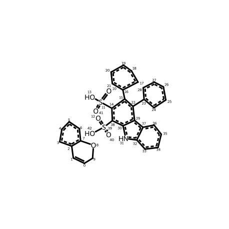 C1=Cc2ccccc2OC1.O=S(=O)(O)c1c(-c2ccccc2)c(-c2ccccc2)c2c([nH]c3ccccc32)c1S(=O)(=O)O